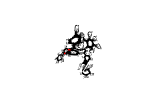 O=C1OC(/C=C(\c2ccc(Cl)cc2)c2ccc(N3CCCC3)cc2)(/C=C(\c2ccc(Cl)cc2)c2ccc(N3CCCC3)cc2)c2c(Cl)c(Cl)c(Cl)c(Cl)c21